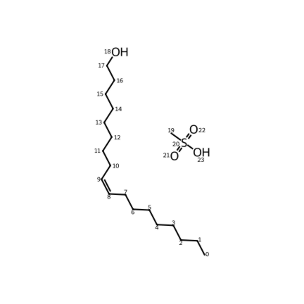 CCCCCCCC/C=C\CCCCCCCCO.CS(=O)(=O)O